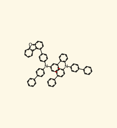 c1ccc(-c2ccc(N(c3ccc(-c4cccc5oc6ccccc6c45)cc3)c3cccc(-c4ccccc4N(c4ccc(-c5ccccc5)cc4)c4ccc(-c5ccccc5)cc4)c3)cc2)cc1